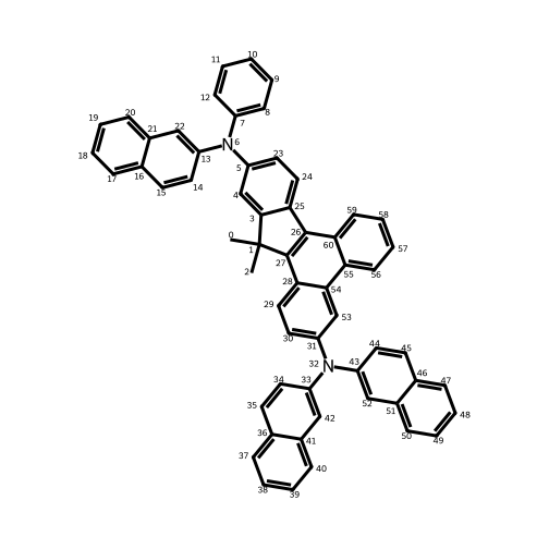 CC1(C)c2cc(N(c3ccccc3)c3ccc4ccccc4c3)ccc2-c2c1c1ccc(N(c3ccc4ccccc4c3)c3ccc4ccccc4c3)cc1c1ccccc21